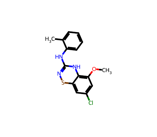 COc1cc(Cl)cc2c1NC(Nc1ccccc1C)=NS2